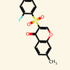 Cc1ccc2c(=O)c(S(=O)(=O)c3ccccc3F)coc2c1